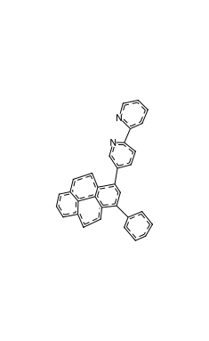 c1ccc(-c2cc(-c3ccc(-c4ccccn4)nc3)c3ccc4cccc5ccc2c3c54)cc1